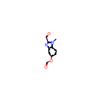 Cn1c(C=O)nc2cc(OC=O)ccc21